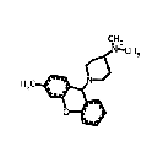 Cc1ccc2c(c1)Oc1ccccc1C2N1CCC(N(C)C)CC1